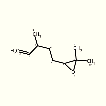 C=CC(C)CCC1OC1(C)C